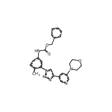 Cc1ccc(NC(=O)OCc2ccccc2)cc1-n1cc(-c2cncc(N3CCOCC3)c2)nn1